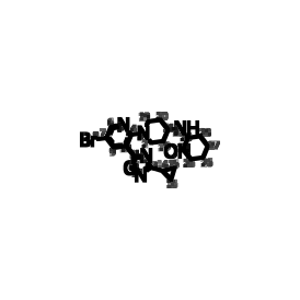 O[C@@H]1CN(c2ncc(Br)cc2-c2nc(C3CC3)no2)CC[C@H]1NC1CCCCC1